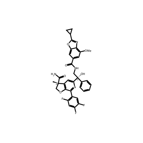 COc1cc(C(=O)NC[C@@](O)(c2ccccc2)c2cc3c(c(-c4cc(F)c(F)cc4F)n2)OC[C@]3(C)C(N)=O)cc2oc(C3CC3)nc12